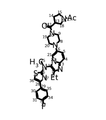 CCc1nc2ccc(N3CCN(C(=O)C4CCN(C(C)=O)C4)CC3)cn2c1N(C)c1nc(-c2ccc(F)cc2)cs1